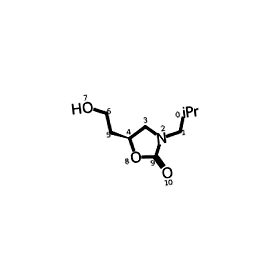 CC(C)CN1C[C@H](CCO)OC1=O